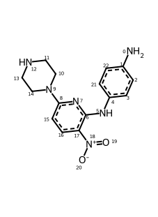 Nc1ccc(Nc2nc(N3CCNCC3)ccc2[N+](=O)[O-])cc1